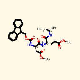 CC(C)[C@H](NC(=O)[C@H](CCC(=O)OC(C)(C)C)NC(=O)[C@H](CC(=O)OC(C)(C)C)NC(=O)OCC1c2ccccc2-c2ccccc21)C(=O)O